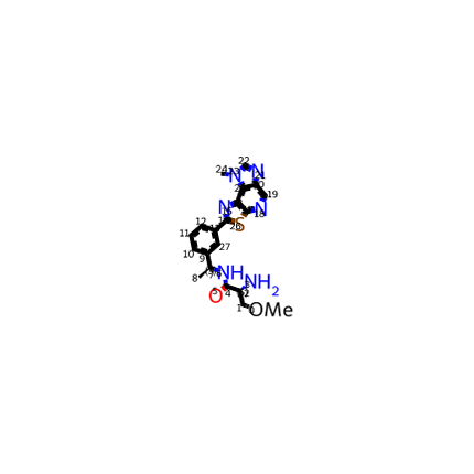 COC[C@H](N)C(=O)N[C@@H](C)c1cccc(-c2nc3c(ncc4ncn(C)c43)s2)c1